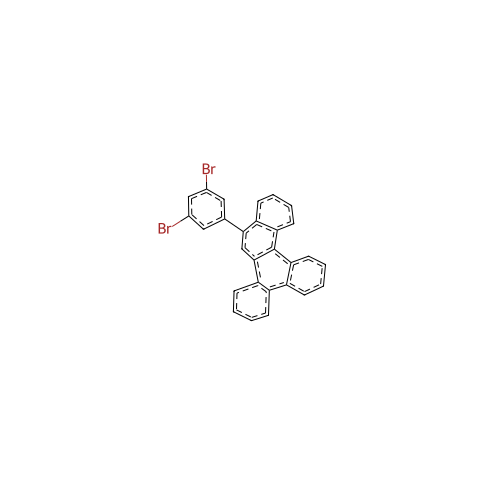 Brc1cc(Br)cc(-c2cc3c4ccccc4c4ccccc4c3c3ccccc23)c1